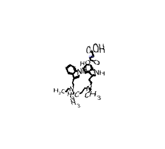 CCCN(CC)CCc1c[nH]c2ccccc12.CCCN(CC)CCc1c[nH]c2ccccc12.O=C(O)/C=C/C(=O)O